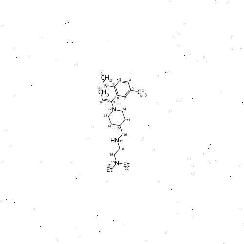 C=Nc1ccc(C(F)(F)F)cc1/C(=C\C)N1CCC(CNCCN(CC)CC)CC1